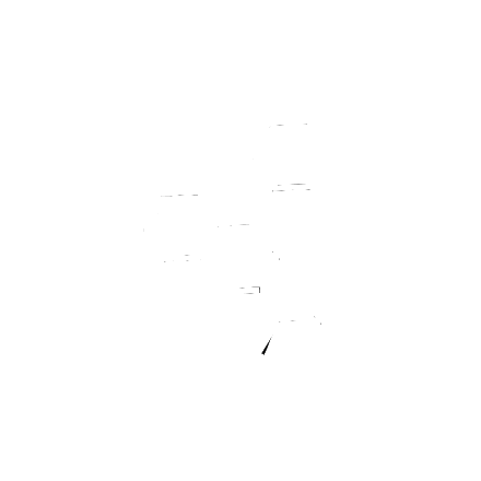 C[C@@H](C(=O)N=S(c1ccccc1)c1ccccc1)N(C)C